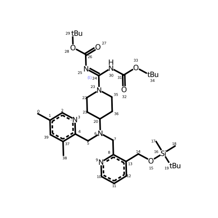 Cc1cnc(CN(Cc2ncccc2CO[Si](C)(C)C(C)(C)C)C2CCN(/C(=N/C(=O)OC(C)(C)C)NC(=O)OC(C)(C)C)CC2)c(C)c1